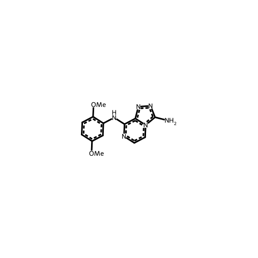 COc1ccc(OC)c(Nc2nccn3c(N)nnc23)c1